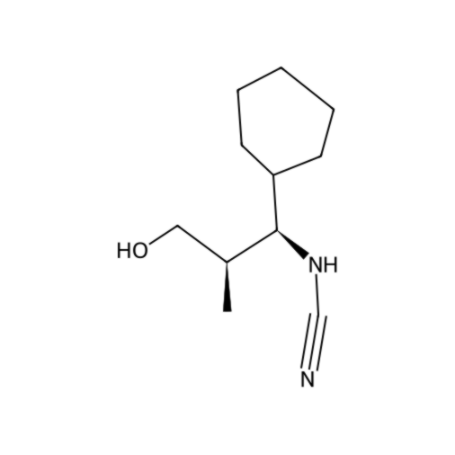 C[C@@H](CO)[C@H](NC#N)C1CCCCC1